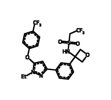 CCn1nc(-c2cccc(C3(NS(=O)(=O)CC(F)(F)F)COC3)c2)cc1Oc1ccc(C(F)(F)F)cc1